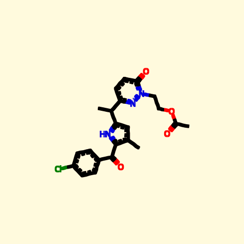 CC(=O)OCCn1nc(C(C)c2cc(C)c(C(=O)c3ccc(Cl)cc3)[nH]2)ccc1=O